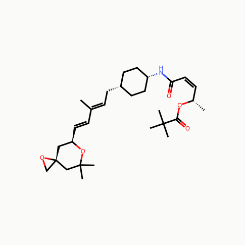 CC(/C=C/[C@@H]1C[C@]2(CO2)CC(C)(C)O1)=C\C[C@H]1CC[C@@H](NC(=O)/C=C\[C@H](C)OC(=O)C(C)(C)C)CC1